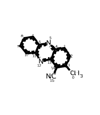 Cc1ccc2nc3ccccc3nc2c1C#N